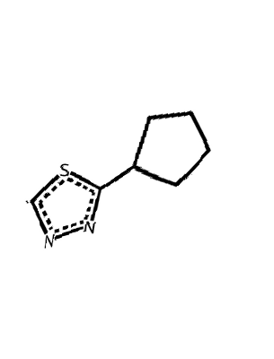 [c]1nnc(C2CCCC2)s1